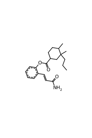 CCCC1(C)CC(C(=O)Oc2ccccc2/C=C/C(N)=O)CCC1C